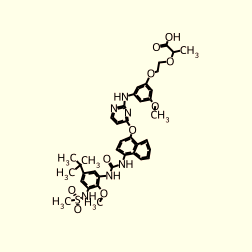 COc1cc(Nc2nccc(Oc3ccc(NC(=O)Nc4cc(C(C)(C)C)cc(NS(C)(=O)=O)c4OC)c4ccccc34)n2)cc(OCCOC(C)C(=O)O)c1